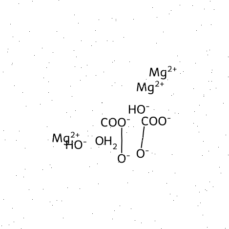 O.O=C([O-])[O-].O=C([O-])[O-].[Mg+2].[Mg+2].[Mg+2].[OH-].[OH-]